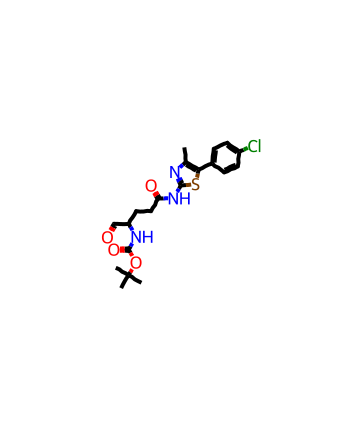 Cc1nc(NC(=O)CCC(C=O)NC(=O)OC(C)(C)C)sc1-c1ccc(Cl)cc1